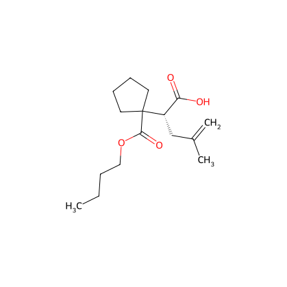 C=C(C)C[C@@H](C(=O)O)C1(C(=O)OCCCC)CCCC1